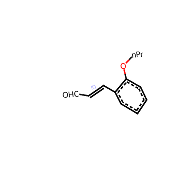 CCCOc1ccccc1/C=C/C=O